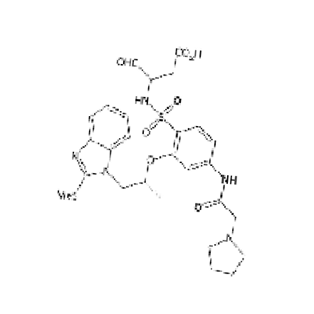 CSc1nc2ccccc2n1C[C@@H](C)Oc1cc(NC(=O)CN2CCCC2)ccc1S(=O)(=O)NC(C=O)CC(=O)O